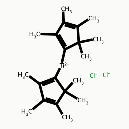 CC1=C(C)C(C)(C)[C]([Ti+2][C]2=C(C)C(C)=C(C)C2(C)C)=C1C.[Cl-].[Cl-]